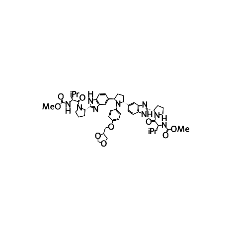 COC(=O)N[C@H](C(=O)N1CCC[C@H]1c1nc2cc([C@H]3CC[C@H](c4ccc5[nH]c([C@@H]6CCCN6C(=O)[C@@H](NC(=O)OC)C(C)C)nc5c4)N3c3ccc(OCC4COCO4)cc3)ccc2[nH]1)C(C)C